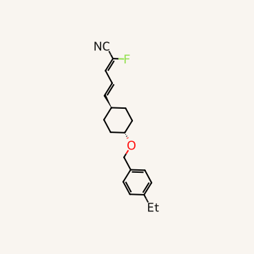 CCc1ccc(CO[C@H]2CC[C@H](C=CC=C(F)C#N)CC2)cc1